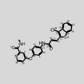 CNC(=O)c1cc(Oc2ccc(NC(=O)/C=C/c3sc4ccccc4c3Cl)cc2)ccn1